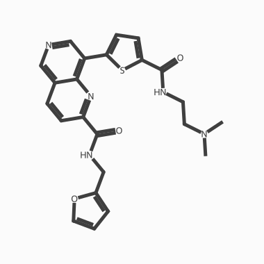 CN(C)CCNC(=O)c1ccc(-c2cncc3ccc(C(=O)NCc4ccco4)nc23)s1